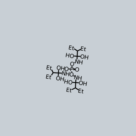 CCC(CC)C(O)(O)NOP(=O)(ONC(O)(O)C(CC)CC)ONC(O)(O)C(CC)CC